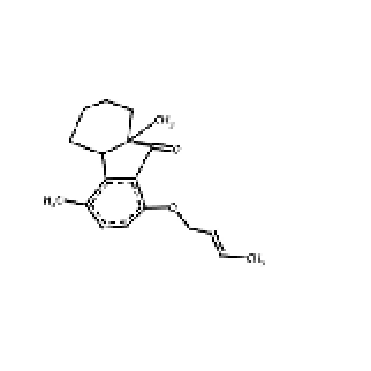 CC=CCOc1ccc(C)c2c1C(=O)C1(C)CCCCC21